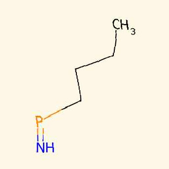 CCCCP=N